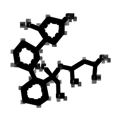 CC[C@@](C)(OC(C)CC(C)O)c1ccccc1-c1cc(-c2ccc(C)cc2C)ccn1